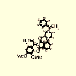 COc1ccc(C(CN)N2C(=O)c3cccc(N4CCN(C(C)c5ccccc5)CC4)c3C2=O)cc1OC